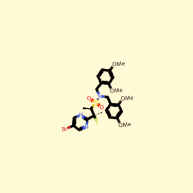 COc1ccc(CN(Cc2ccc(OC)cc2OC)S(=O)(=O)[C@H](C)[C@@](C)(F)c2ncc(Br)cn2)c(OC)c1